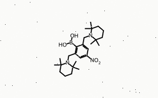 CC1(C)CCCC(C)(C)N1Cc1cc([N+](=O)[O-])cc(CN2C(C)(C)CCCC2(C)C)c1B(O)O